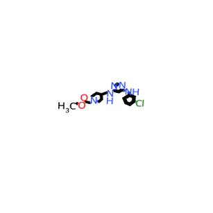 CCOC(=O)CN1CCC(CNc2cc(Nc3cccc(Cl)c3)ncn2)CC1